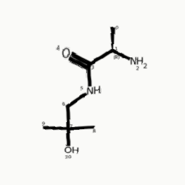 C[C@@H](N)C(=O)NCC(C)(C)O